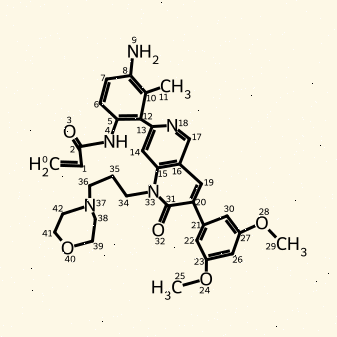 C=CC(=O)Nc1ccc(N)c(C)c1-c1cc2c(cn1)cc(-c1cc(OC)cc(OC)c1)c(=O)n2CCCN1CCOCC1